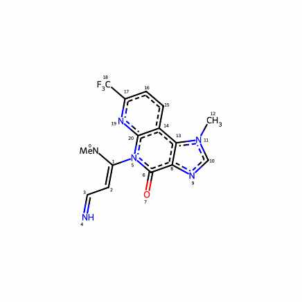 CN/C(=C\C=N)n1c(=O)c2ncn(C)c2c2ccc(C(F)(F)F)nc21